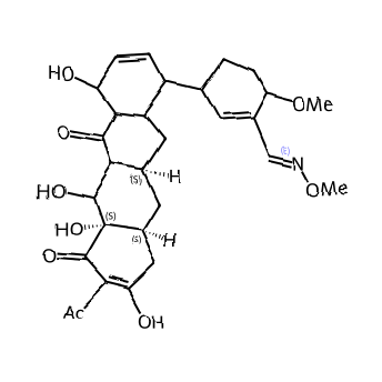 CO/N=C/C1=CC(C2C=CC(O)C3C(=O)C4C(O)[C@]5(O)C(=O)C(C(C)=O)=C(O)C[C@@H]5C[C@@H]4CC23)CCC1OC